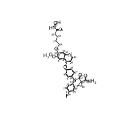 COc1cc2c(Oc3ccc(N(C(=O)C4(C(N)=O)CC4)c4ccc(F)cc4)cc3)ccnc2cc1OCCCCC(=O)NO